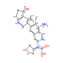 Cc1c(-c2cc3cc(N(C(=O)O)[C@H]4CCOC4)ncc3c(N)c2F)cnc2c1[C@H](O)CC2